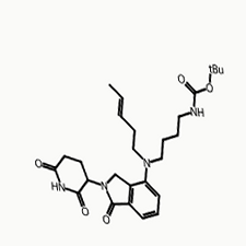 C/C=C/CCN(CCCCNC(=O)OC(C)(C)C)c1cccc2c1CN(C1CCC(=O)NC1=O)C2=O